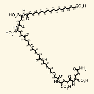 NC(=O)CC[C@H](NC(=O)CC[C@H](NC(=O)COCCOCCNC(=O)COCCOCCNC(=O)CC[C@H](NC(=O)CC[C@H](NC(=O)CCCCCCCCCCCCCCCCC(=O)O)C(=O)O)C(=O)O)C(=O)O)C(=O)O